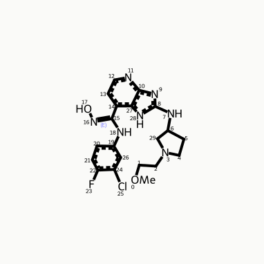 COCCN1CCC(Nc2nc3nccc(/C(=N\O)Nc4ccc(F)c(Cl)c4)c3[nH]2)C1